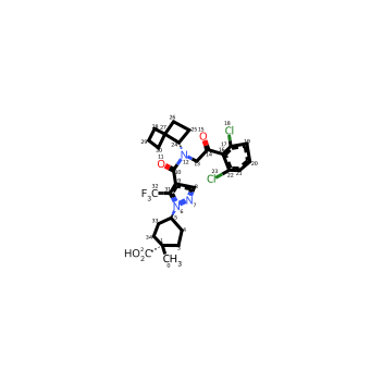 C[C@]1(C(=O)O)CC[C@H](n2ncc(C(=O)N(CC(=O)c3c(Cl)cccc3Cl)[C@H]3CCC34CCC4)c2C(F)(F)F)CC1